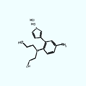 Cl.Cl.Nc1ccc(N(CCO)CCO)c(-c2ccsc2)c1